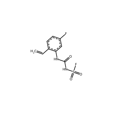 C=Cc1ccc(F)cc1NC(=O)NS(=O)(=O)F